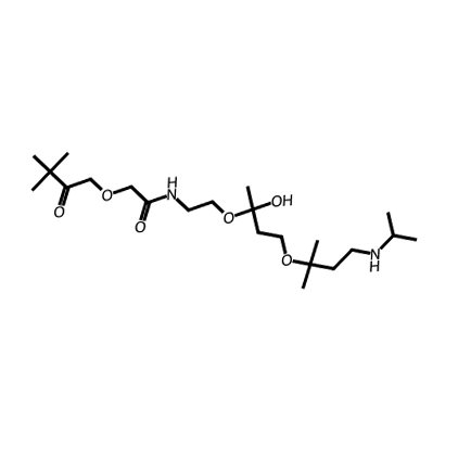 CC(C)NCCC(C)(C)OCCC(C)(O)OCCNC(=O)COCC(=O)C(C)(C)C